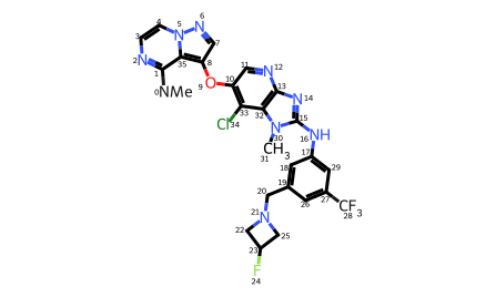 CNc1nccn2ncc(Oc3cnc4nc(Nc5cc(CN6CC(F)C6)cc(C(F)(F)F)c5)n(C)c4c3Cl)c12